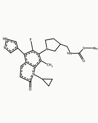 Cc1c(N2CCC(CNC(=O)OC(C)(C)C)C2)c(F)c(-c2cn[nH]c2)c2ccc(=O)n(C3CC3)c12